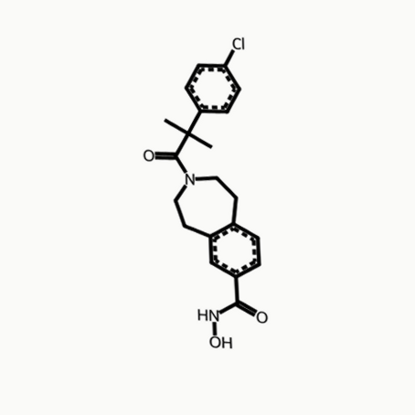 CC(C)(C(=O)N1CCc2ccc(C(=O)NO)cc2CC1)c1ccc(Cl)cc1